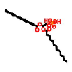 C#CC#CC#CC#CC#CC(=O)OC(COP(=O)(O)O)OC(=O)CCCCCCCCCCCC